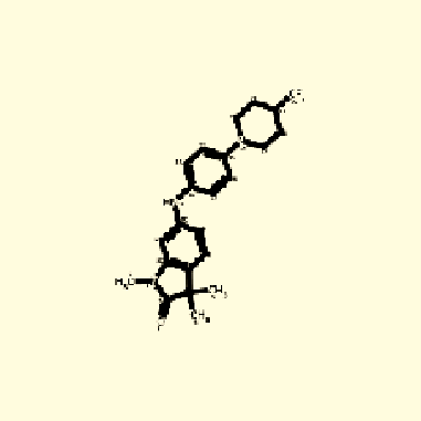 CN1C(=O)C(C)(C)c2ccc(Nc3ccc(N4CCC(C(F)(F)F)CC4)cc3)cc21